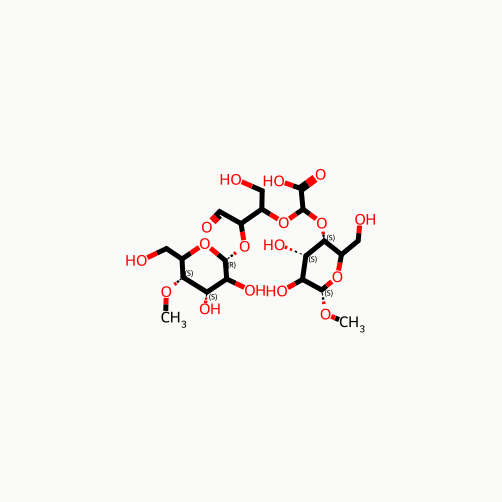 CO[C@H]1OC(CO)[C@@H](OC(OC(CO)C(C=O)O[C@H]2OC(CO)[C@@H](OC)[C@@H](O)C2O)C(=O)O)[C@@H](O)C1O